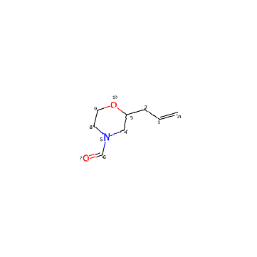 C=CCC1CN([C]=O)CCO1